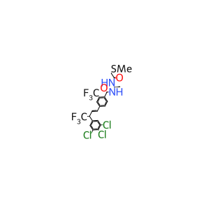 CSCC(=O)N[C@@H](C)NC(=O)c1ccc(C=CC(c2cc(Cl)c(Cl)c(Cl)c2)C(F)(F)F)cc1C(F)(F)F